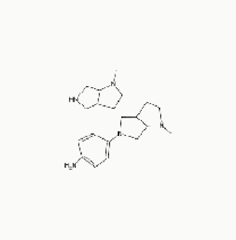 CN1CCC2CN(c3ccc(N)cc3)CC21.CN1CCC2CNCC21